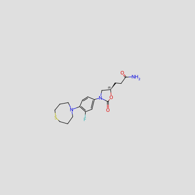 NC(=O)CC[C@@H]1CN(c2ccc(N3CCCSCCC3)c(F)c2)C(=O)O1